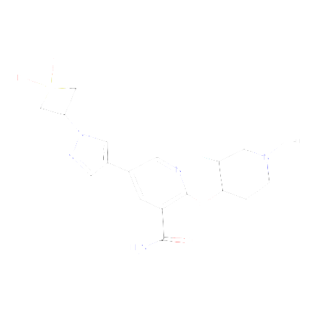 CC(C)(C)N1CCC(Oc2ncc(-c3cnn(C4CS(O)(O)C4)c3)cc2C(N)=O)C(F)C1